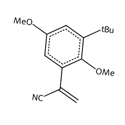 C=C(C#N)c1cc(OC)cc(C(C)(C)C)c1OC